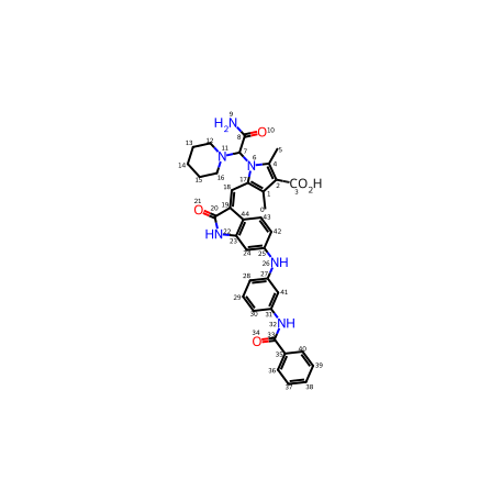 Cc1c(C(=O)O)c(C)n(C(C(N)=O)N2CCCCC2)c1C=C1C(=O)Nc2cc(Nc3cccc(NC(=O)c4ccccc4)c3)ccc21